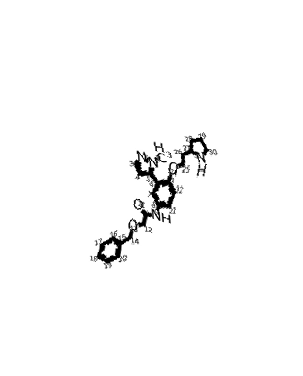 Cn1nccc1-c1cc(NC(=O)COCc2ccccc2)ccc1OCCC1CCCN1